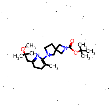 COC(C)(C)CC1=NC(N2CCC3(CN(C(=O)OC(C)(C)C)C3)C2)=C(C)CC1